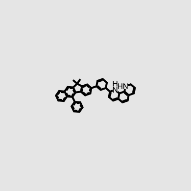 CC1(C)c2cc(C3=CC(C4=CC=C5C=CC6=C(NCC=C6)C5N4)CC=C3)ccc2-c2c1cc1ccccc1c2-c1ccccc1